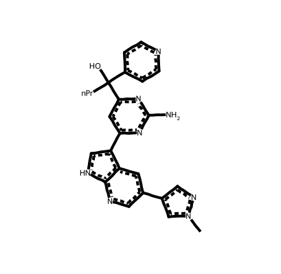 CCCC(O)(c1ccncc1)c1cc(-c2c[nH]c3ncc(-c4cnn(C)c4)cc23)nc(N)n1